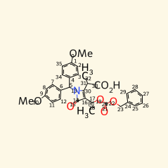 COc1ccc(C(c2ccc(OC)cc2)N2C(=O)C([C@@H](C)OC(=O)OCc3ccccc3)=C2C(C)C(=O)O)cc1